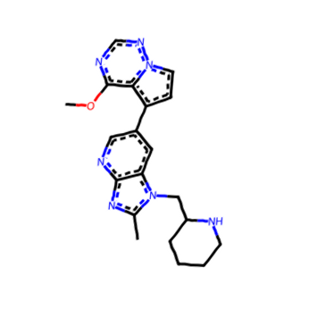 COc1ncnn2ccc(-c3cnc4nc(C)n(CC5CCCCN5)c4c3)c12